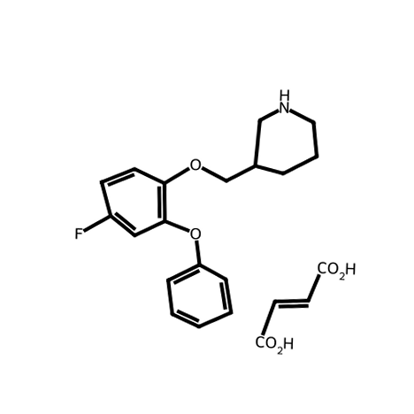 Fc1ccc(OCC2CCCNC2)c(Oc2ccccc2)c1.O=C(O)C=CC(=O)O